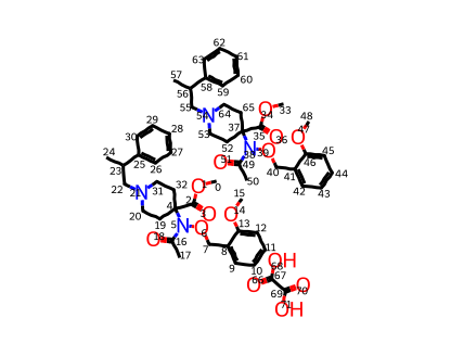 COC(=O)C1(N(OCc2ccccc2OC)C(C)=O)CCN(CC(C)c2ccccc2)CC1.COC(=O)C1(N(OCc2ccccc2OC)C(C)=O)CCN(CC(C)c2ccccc2)CC1.O=C(O)C(=O)O